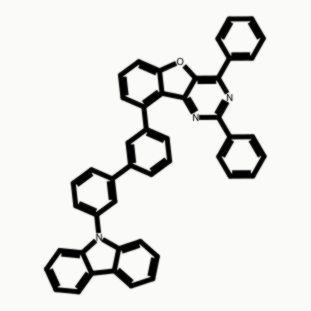 c1ccc(-c2nc(-c3ccccc3)c3oc4cccc(-c5cccc(-c6cccc(-n7c8ccccc8c8ccccc87)c6)c5)c4c3n2)cc1